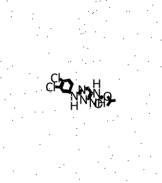 CNc1nc(Nc2ccc(Cl)c(Cl)c2)ncc1NC(=O)OC(C)C